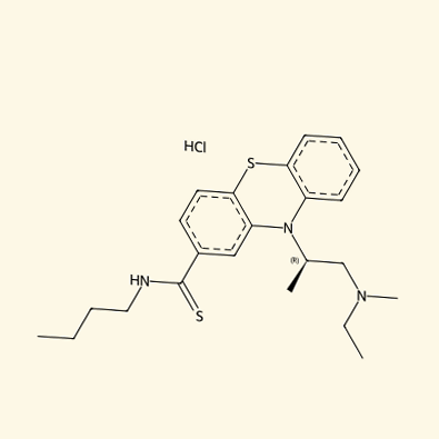 CCCCNC(=S)c1ccc2c(c1)N([C@H](C)CN(C)CC)c1ccccc1S2.Cl